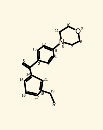 C=C(c1ccc(N2CCOCC2)cc1)c1cccc(CC)c1